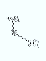 C=C(C)C(=O)OCCCCCCOP(=O)([O-])OCCCC[N+](C)(C)C